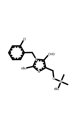 CCCCc1nc(CO[Si](C)(C)C(C)(C)C)c(C=O)n1Cc1ccccc1Cl